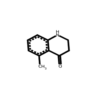 Cc1cccc2c1C(=O)CCN2